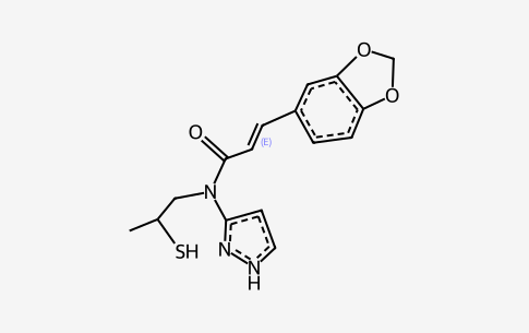 CC(S)CN(C(=O)/C=C/c1ccc2c(c1)OCO2)c1cc[nH]n1